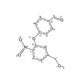 COCc1ccc([N+](=O)[O-])c(Oc2ccc(C=O)cc2)c1